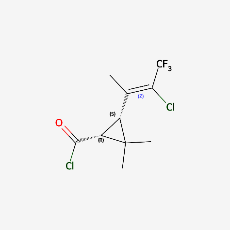 C/C(=C(/Cl)C(F)(F)F)[C@H]1[C@@H](C(=O)Cl)C1(C)C